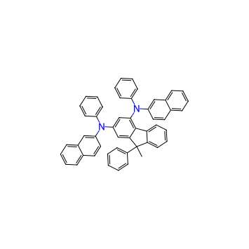 CC1(c2ccccc2)c2ccccc2-c2c(N(c3ccccc3)c3ccc4ccccc4c3)cc(N(c3ccccc3)c3ccc4ccccc4c3)cc21